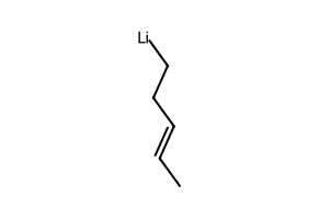 [Li][CH2]CC=CC